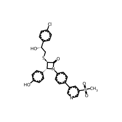 CS(=O)(=O)c1cncc(-c2ccc(N3C(=O)[C@H](SC[C@H](O)c4ccc(Cl)cc4)[C@H]3c3ccc(O)cc3)cc2)c1